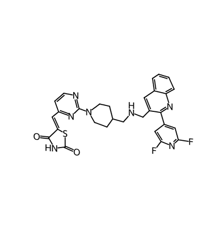 O=C1NC(=O)C(=Cc2ccnc(N3CCC(CNCc4cc5ccccc5nc4-c4cc(F)nc(F)c4)CC3)n2)S1